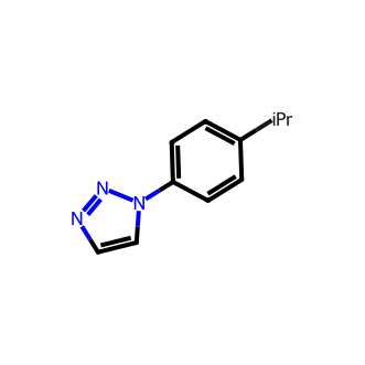 CC(C)c1ccc(-n2ccnn2)cc1